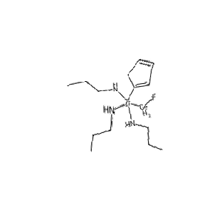 CCC[NH][Zr]([NH]CCC)([NH]CCC)([GeH2][F])[C]1=CC=CC1